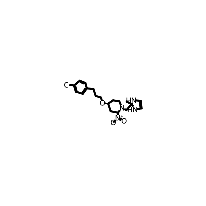 CC1(CN2CC[C@H](OCCCc3ccc(Cl)cc3)CC2[N+](=O)[O-])NC=CN1